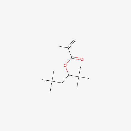 C=C(C)C(=O)OC(CC(C)(C)C)C(C)(C)C